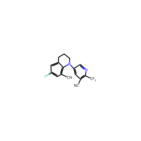 N#Cc1cc(N2CCCc3cc(F)cc(C#N)c32)cnc1C(F)(F)F